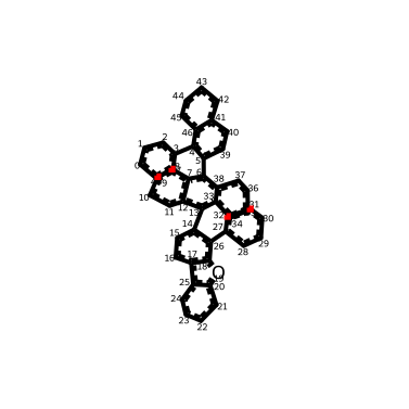 c1ccc(-c2c(-c3c4ccccc4c(-c4ccc5c(oc6ccccc65)c4-c4ccccc4)c4ccccc34)ccc3ccccc23)cc1